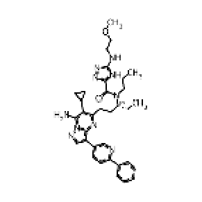 CCCN(C(=O)c1nnc(NCCOC)[nH]1)[C@H](CC)CCc1nc2c(-c3ccc(-c4ccccc4)nc3)cnn2c(N)c1C1CC1